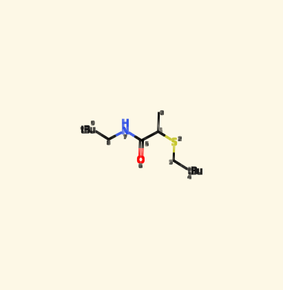 CC(SCC(C)(C)C)C(=O)NCC(C)(C)C